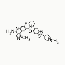 CN1CCC(c2nc3cc(C4CCCCN4C(=O)c4cc5c(cc4F)nc(N)c4cnn(C)c45)ccc3s2)CC1